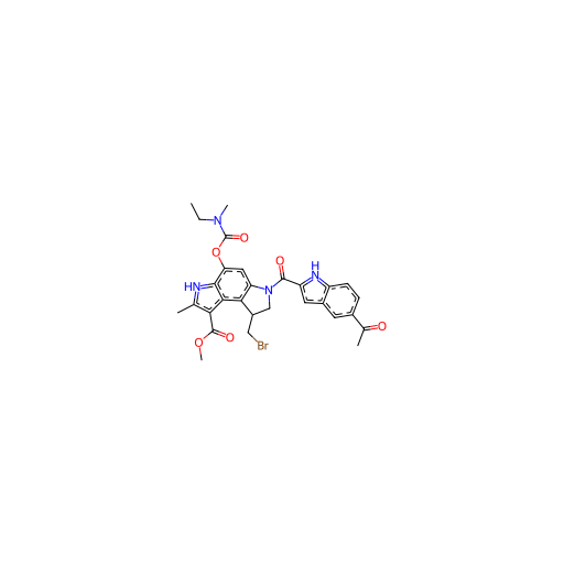 CCN(C)C(=O)Oc1cc2c(c3c(C(=O)OC)c(C)[nH]c13)C(CBr)CN2C(=O)c1cc2cc(C(C)=O)ccc2[nH]1